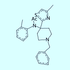 CC(=O)N(c1ccccc1C)C1(c2nc(C)cs2)CCN(Cc2ccccc2)CC1